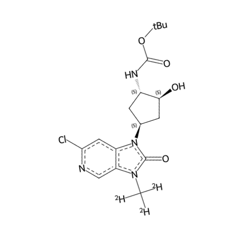 [2H]C([2H])([2H])n1c(=O)n([C@H]2C[C@H](NC(=O)OC(C)(C)C)[C@@H](O)C2)c2cc(Cl)ncc21